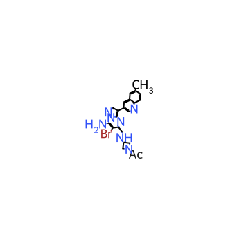 CC(=O)N1CC(NCc2nc3c(-c4cnc5ccc(C)cc5c4)cnn3c(N)c2Br)C1